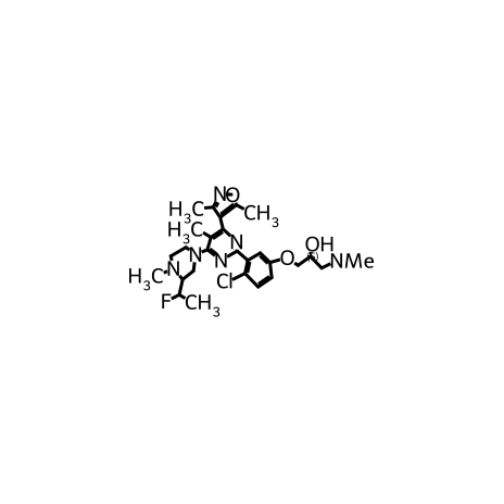 CNC[C@H](O)COc1ccc(Cl)c(-c2nc(-c3c(C)noc3C)c(C)c(N3CCN(C)C(C(C)F)C3)n2)c1